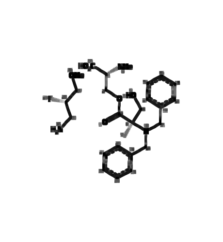 CN[C@H](COC(=O)[C@@](C)(CO)N(Cc1ccccc1)Cc1ccccc1)C(=O)O.COC[C@@H](F)CN